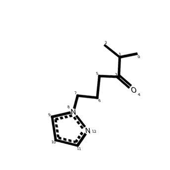 CC(C)C(=O)CCCn1cccn1